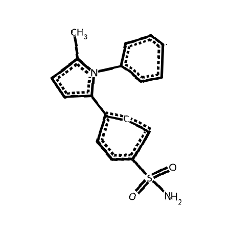 Cc1ccc(-c2ccc(S(N)(=O)=O)cc2)n1-c1cc[c]cc1